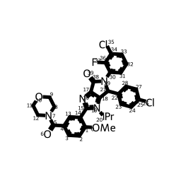 COc1ccc(C(=O)N2CCOCC2)cc1-c1nc2c(n1C(C)C)C(c1ccc(Cl)cc1)N(c1cccc(Cl)c1F)C2=O